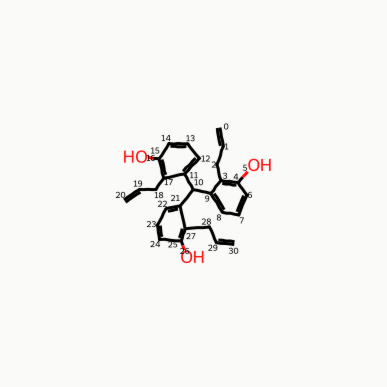 C=CCc1c(O)cccc1C(c1cccc(O)c1CC=C)c1cccc(O)c1CC=C